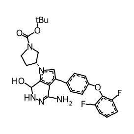 CC(C)(C)OC(=O)N1CC[C@@H](n2cc(-c3ccc(Oc4c(F)cccc4F)cc3)c3c2C(O)NN=C3N)C1